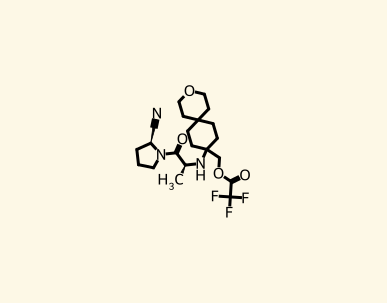 C[C@H](NC1(COC(=O)C(F)(F)F)CCC2(CCOCC2)CC1)C(=O)N1CCC[C@H]1C#N